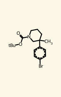 CC(C)(C)OC(=O)N1CCCC(C)(c2ccc(Br)cc2)C1